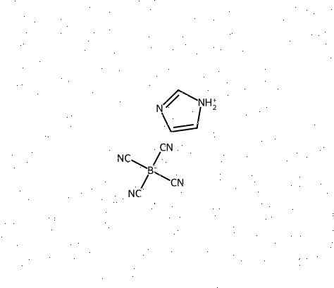 C1=C[NH2+]C=N1.N#C[B-](C#N)(C#N)C#N